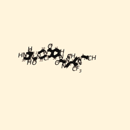 C#CCn1cc(-c2cnc(C(=O)Nc3ccc(C(=O)N4CCN(C(=O)N5C[C@@H]6C[C@H]5CN6)CC4)c(Cl)c3)n2C)c(C(F)(F)F)n1